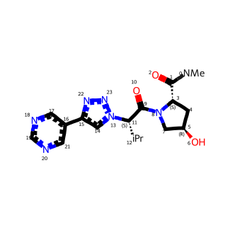 CNC(=O)[C@@H]1C[C@@H](O)CN1C(=O)[C@H](C(C)C)n1cc(-c2cncnc2)nn1